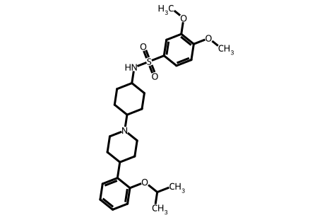 COc1ccc(S(=O)(=O)NC2CCC(N3CCC(c4ccccc4OC(C)C)CC3)CC2)cc1OC